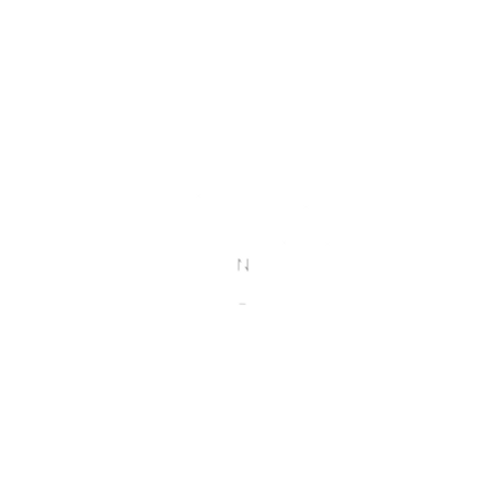 CCN(C1[CH]CC1)C1CC1